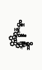 COc1nc(-c2cccc(-c3cccc(-c4ccc([C@@H](C)NC[C@@H]5CCC(=O)N5)c(OC)n4)c3Cl)c2Cl)ccc1[C@@H](C)NC[C@@H]1CCC(=O)N1